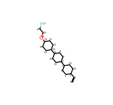 C=CC1CCC(C2CCC(C3CCC(OCCF)CC3)CC2)CC1